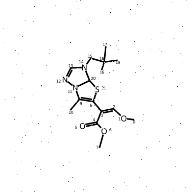 COC=C(C(=O)OC)C1=C(C)N2N=CN(CC(C)(C)C)C2S1